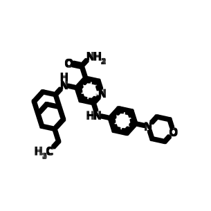 CCC1CC2CCC(Nc3cc(Nc4ccc(N5CCOCC5)cc4)ncc3C(N)=O)C(C1)C2